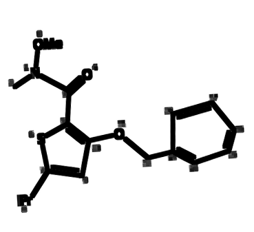 CON(C)C(=O)c1sc(C(C)C)cc1OCc1ccccc1